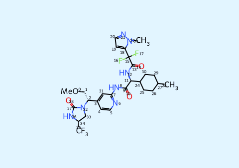 COC[C@H](c1ccnc(NC(=O)[C@@H](NC(=O)C(F)(F)c2ccnn2C)C2CCC(C)CC2)c1)N1C[C@@H](C(F)(F)F)NC1=O